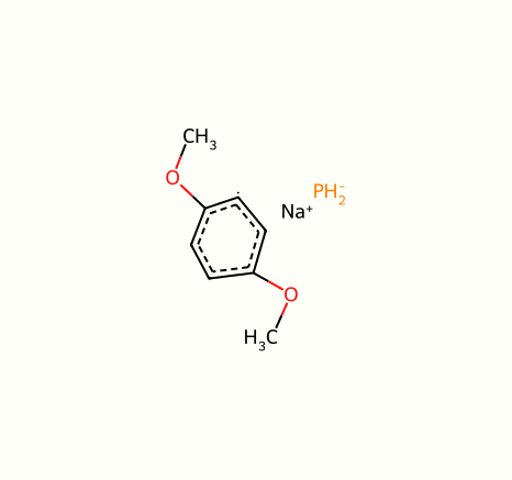 COc1[c]cc(OC)cc1.[Na+].[PH2-]